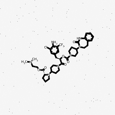 CN(C)CCOC(=O)[C@H]1CCCN1C1CCN(C(=O)[C@@H](Cc2cc(Cl)c(N)c(C(F)(F)F)c2)OC(=O)N2CCC(N3CCc4ccccc4NC3=O)CC2)CC1